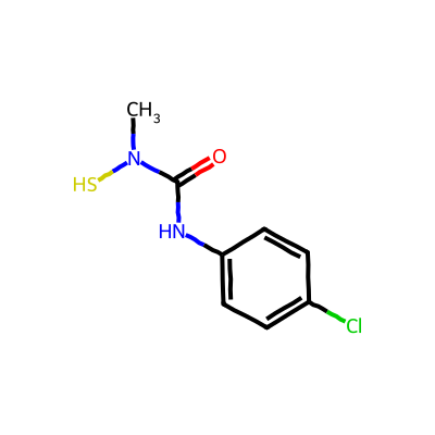 CN(S)C(=O)Nc1ccc(Cl)cc1